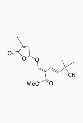 COC(=O)C(/C=C/C(C)(C)C#N)=C/OC1C=C(C)C(=O)O1